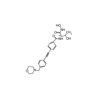 CC(O)[C@H](NC(=O)c1ccc(C#Cc2ccc(CN3CCOCC3)cc2)cc1)C(=O)NO